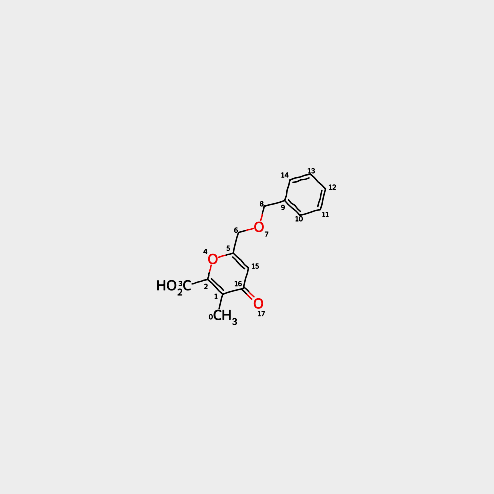 Cc1c(C(=O)O)oc(COCc2ccccc2)cc1=O